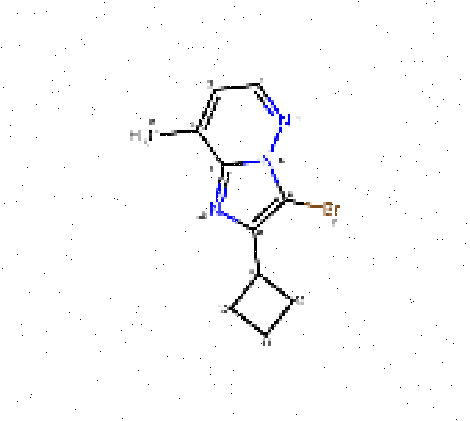 Cc1ccnn2c(Br)c(C3CCC3)nc12